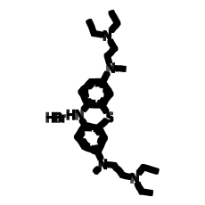 Br.CCN(CC)CCN(C)c1ccc2c(c1)Sc1cc(N(C)CCN(CC)CC)ccc1N2